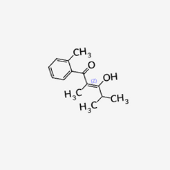 C/C(C(=O)c1ccccc1C)=C(/O)C(C)C